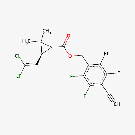 C#Cc1c(F)c(F)c(COC(=O)[C@@H]2[C@@H](C=C(Cl)Cl)C2(C)C)c(CC)c1F